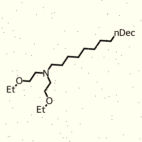 CCCCCCCCCCCCCCCCCCN(CCOCC)CCOCC